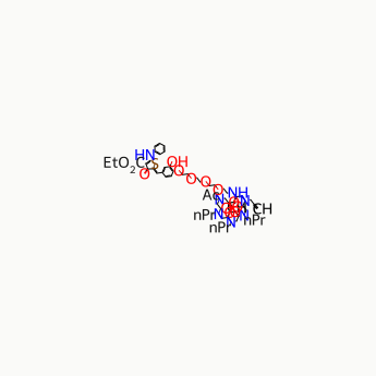 C#CCN(CC(=O)N(CCC)CC(=O)N(CCC)CC(=O)N(CCC)CC(=O)N(CC#C)CC(=O)NCCOCCOCCOCCOc1ccc(/C=C2\SC(Nc3ccccc3)=C(C(=O)OCC)C2=O)cc1O)C(C)=O